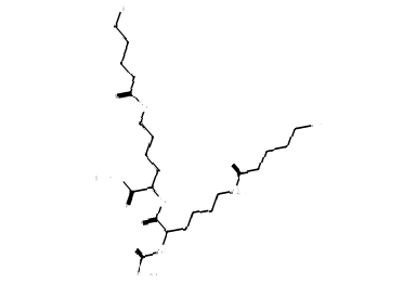 CCCCCCC(=O)NC(CCCCNC(=O)CCCCC(C)C)C(=O)NC(CCCCNC(=O)CCCCC(C)C)C(=O)C(C)CCC